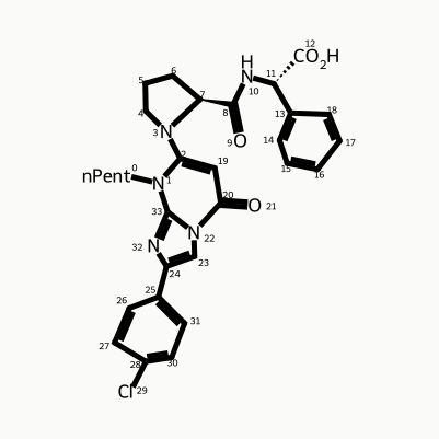 CCCCCn1c(N2CCC[C@H]2C(=O)N[C@H](C(=O)O)c2ccccc2)cc(=O)n2cc(-c3ccc(Cl)cc3)nc12